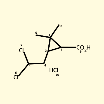 CC1(C)C(CC(Cl)Cl)C1C(=O)O.Cl